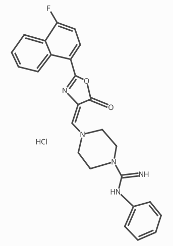 Cl.N=C(Nc1ccccc1)N1CCN(/C=C2/N=C(c3ccc(F)c4ccccc34)OC2=O)CC1